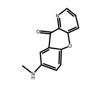 CNc1ccc2oc3cccnc3c(=O)c2c1